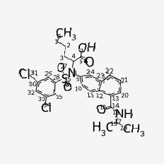 CCCCC(C(=O)O)N(c1ccc2c(C(=O)NC(C)C)cccc2c1)S(=O)(=O)c1cc(Cl)cc(Cl)c1